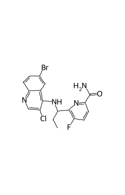 CCC(Nc1c(Cl)cnc2ccc(Br)cc12)c1nc(C(N)=O)ccc1F